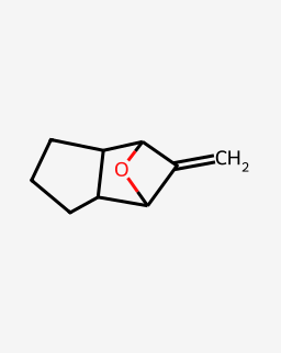 C=C1C2OC1C1CCCC21